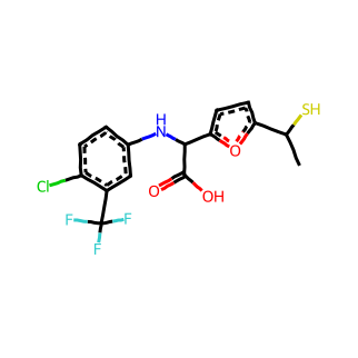 CC(S)c1ccc(C(Nc2ccc(Cl)c(C(F)(F)F)c2)C(=O)O)o1